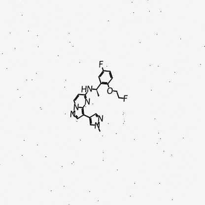 C[C@@H](Nc1ccn2ncc(-c3cnn(C)c3)c2n1)c1cc(F)ccc1OCCF